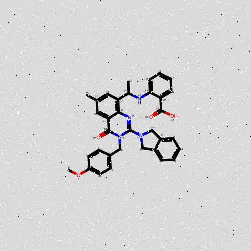 COc1ccc(Cn2c(N3Cc4ccccc4C3)nc3c(C(C)Nc4ccccc4C(=O)O)cc(C)cc3c2=O)cc1